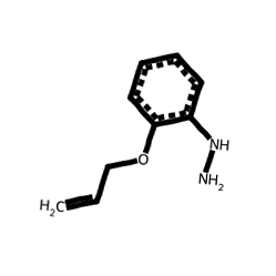 C=CCOc1ccccc1NN